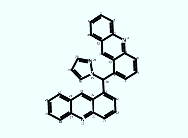 c1ccc2nc3cccc(C(c4cccc5nc6ccccc6cc45)n4cccn4)c3cc2c1